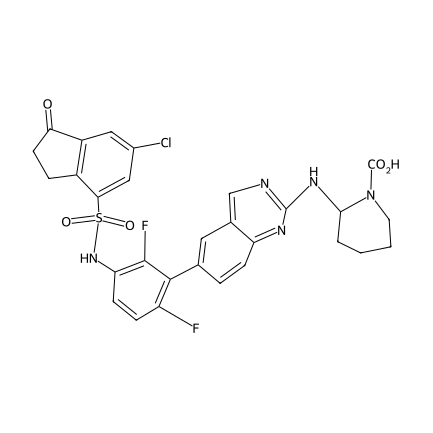 O=C1CCc2c1cc(Cl)cc2S(=O)(=O)Nc1ccc(F)c(-c2ccc3nc(NC4CCCCN4C(=O)O)ncc3c2)c1F